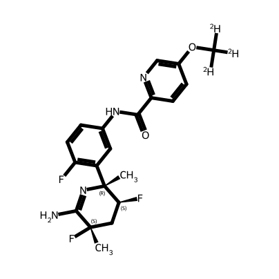 [2H]C([2H])([2H])Oc1ccc(C(=O)Nc2ccc(F)c([C@@]3(C)N=C(N)[C@@](C)(F)C[C@@H]3F)c2)nc1